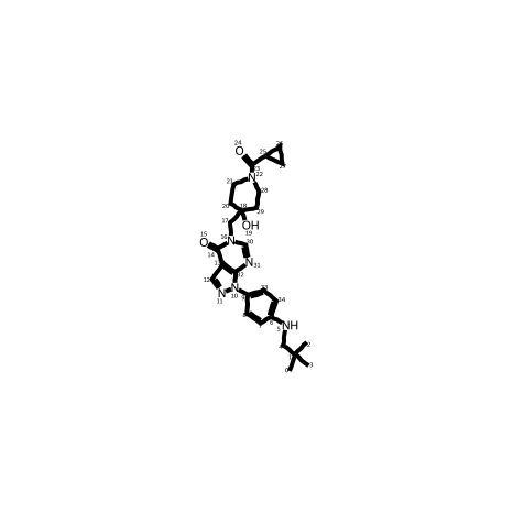 CC(C)(C)CNc1ccc(-n2ncc3c(=O)n(CC4(O)CCN(C(=O)C5CC5)CC4)cnc32)cc1